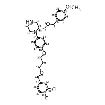 COc1ccc(COC[C@H]2CNCCN2c2ccc(OCCCOCc3ccc(Cl)c(Cl)c3)cc2)cc1